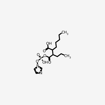 CCCCCC(C(=O)O)C(CCC)C(=O)OP(=O)(O)On1ccnc1